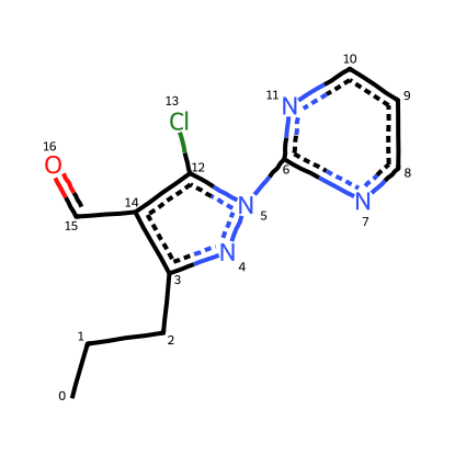 CCCc1nn(-c2ncccn2)c(Cl)c1C=O